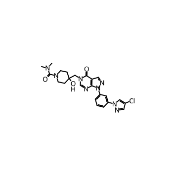 CN(C)C(=O)N1CCC(O)(Cn2cnc3c(cnn3-c3cccc(-n4cc(Cl)cn4)c3)c2=O)CC1